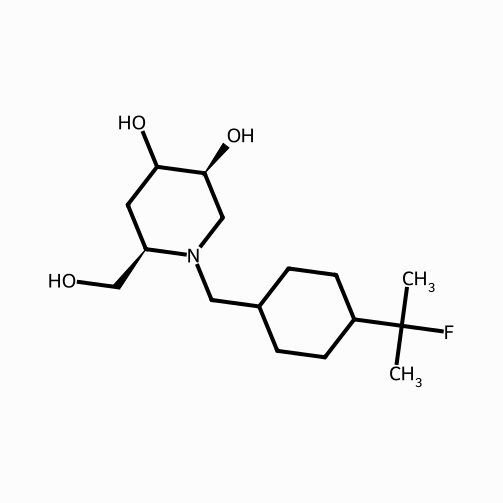 CC(C)(F)C1CCC(CN2C[C@H](O)C(O)C[C@@H]2CO)CC1